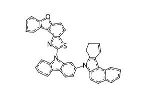 C1=Cc2c(n(-c3ccc4c5ccccc5n(-c5nc6c(ccc7oc8ccccc8c76)s5)c4c3)c3ccc4ccccc4c23)CC1